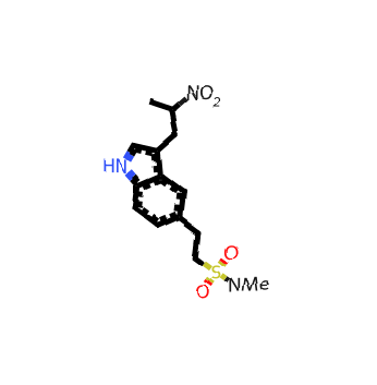 CNS(=O)(=O)CCc1ccc2[nH]cc(CC(C)[N+](=O)[O-])c2c1